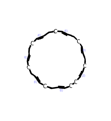 C1=C\CC/C=C/CC/C=C/CC/C=C/CC/C=C/CC/C=C/CC/C=C/CC/1